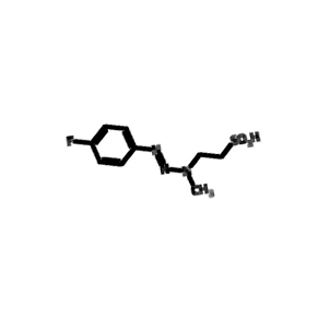 CN(CCS(=O)(=O)O)/N=N/c1ccc(F)cc1